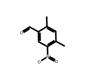 Cc1cc(C)c([N+](=O)[O-])cc1C=O